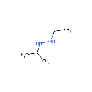 CC(C)NNC[SiH3]